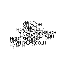 C[C@H](CC(=O)[C@@H](NC(=O)[C@@H](CC(=O)[C@H](C)NC(=O)[C@@H](CC(=O)CC[C@H](NC(=O)c1ccc(NCc2cnc3nc(N)[nH]c(=O)c3n2)cc1)C(=O)O)[C@@H](O)[C@H](O)[C@H](O)CO)[C@@H](O)[C@H](O)[C@H](O)CO)[C@@H](O)[C@H](O)[C@H](O)CO)C(=O)N[C@H](C(=O)C[C@@H](CS)C(=O)O)[C@@H](O)[C@H](O)[C@H](O)CO